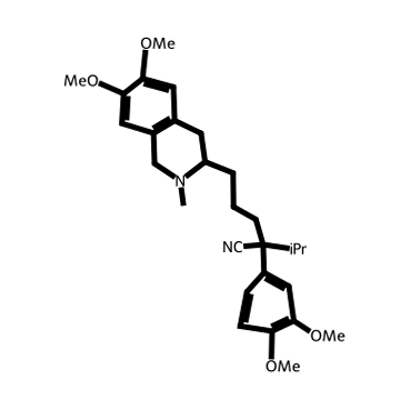 COc1ccc(C(C#N)(CCCC2Cc3cc(OC)c(OC)cc3CN2C)C(C)C)cc1OC